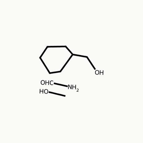 CO.NC=O.OCC1CCCCC1